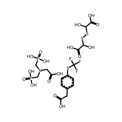 O=C(O)C(O)SSC(O)C(=O)O.O=C(O)CN(CP(=O)(O)O)CP(=O)(O)O.O=C(O)Cc1ccc(SC(F)(F)F)cc1